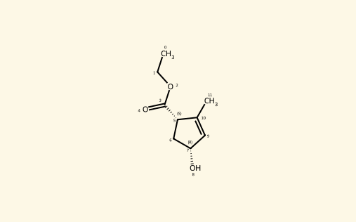 CCOC(=O)[C@H]1C[C@@H](O)C=C1C